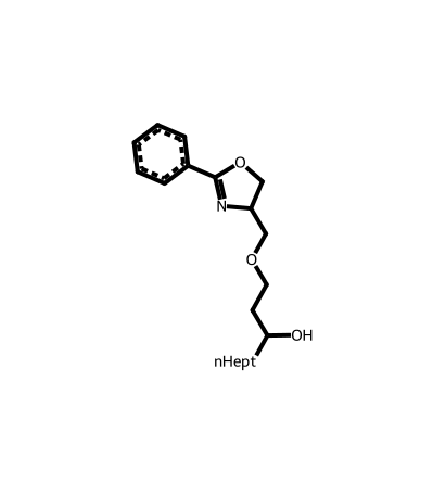 CCCCCCCC(O)CCOCC1COC(c2ccccc2)=N1